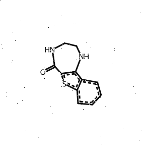 O=C1NCCNc2c1sc1ccccc21